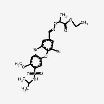 CCOC(=O)C(C)ON=Cc1cc(Br)c(Oc2ccc(OC)c(S(=O)(=O)NC(C)C)c2)c(Br)c1